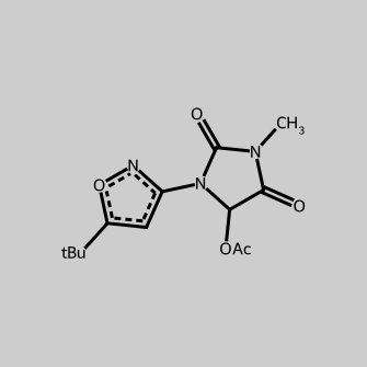 CC(=O)OC1C(=O)N(C)C(=O)N1c1cc(C(C)(C)C)on1